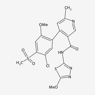 COc1nnc(NC(=O)c2cnc(C)cc2-c2cc(Cl)c(S(C)(=O)=O)cc2OC)s1